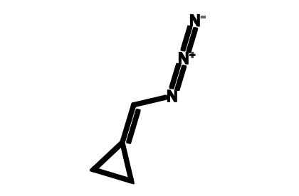 [N-]=[N+]=NC=C1CC1